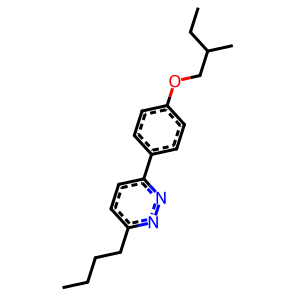 CCCCc1ccc(-c2ccc(OCC(C)CC)cc2)nn1